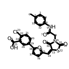 Cc1ccc(NC(=O)CN2C(=O)SC(=Cc3ccc(-c4ccc(Cl)c(C(=O)O)c4)o3)C2=O)cc1